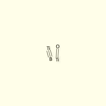 [B]#[Ti].[O]=[Ti]